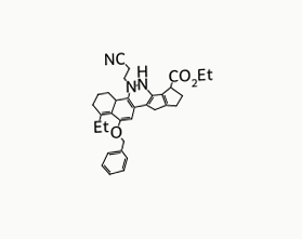 CCOC(=O)C1CCC2=C1C1=C(C2)C2=C(C3CCCC(CC)=C3C(OCc3ccccc3)=C2)N(CCC#N)N1